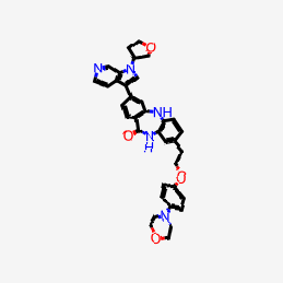 O=C1Nc2cc(CCOc3ccc(N4CCOCC4)cc3)ccc2Nc2cc(-c3cn(C4CCOC4)c4cnccc34)ccc21